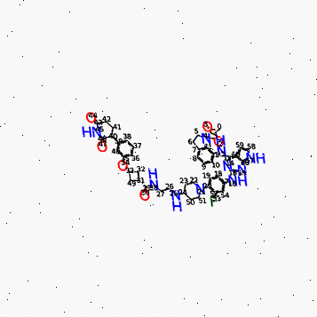 CS(=O)(=O)N1CCc2cccc(Nc3nc(Nc4ccc(N5CCC(NCCNC(=O)[C@H]6C[C@H](Oc7cccc(C8CCC(=O)NC8=O)c7)C6)CC5)c(F)c4)nc4[nH]ccc34)c21